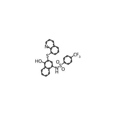 O=S(=O)(Nc1cc(Sc2cccc3cccnc23)c(O)c2ccccc12)c1ccc(C(F)(F)F)cc1